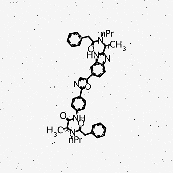 CCCN(C(=O)Cc1ccccc1)[C@@H](C)C(=O)Nc1ccc(-c2ncc(-c3ccc4nc([C@H](C)N(CCC)C(=O)Cc5ccccc5)[nH]c4c3)o2)cc1